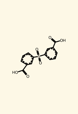 O=C(O)c1cccc(S(=O)(=O)c2cccc(C(=O)O)c2)c1